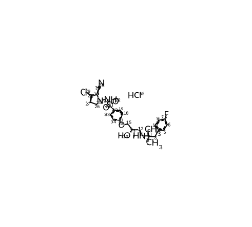 CC(C)(Cc1ccc(F)cc1)NC[C@@H](O)COc1ccc(S(=O)(=O)NN2CCC(Cl)C2C#N)cc1.Cl